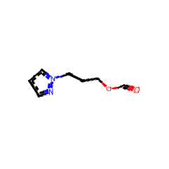 O=COCCCn1cccn1